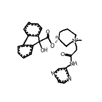 C[N+]1(CC(=O)Nc2cnccn2)CCC[C@@H](OC(=O)C2(O)c3ccccc3-c3ccccc32)C1